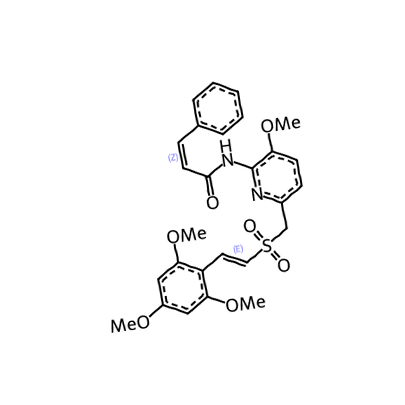 COc1cc(OC)c(/C=C/S(=O)(=O)Cc2ccc(OC)c(NC(=O)/C=C\c3ccccc3)n2)c(OC)c1